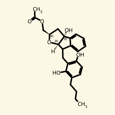 CCCCc1ccc(O)c(CC2c3ccccc3[C@]3(O)C[C@H](COC(C)=O)O[C@H]23)c1O